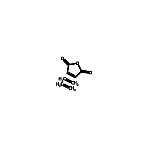 C=C.C=C.O=C1C=CC(=O)O1